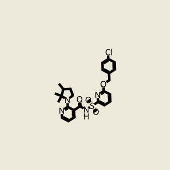 CC1CCN(c2ncccc2C(=O)NS(=O)(=O)c2cccc(OCc3ccc(Cl)cc3)n2)C1(C)C